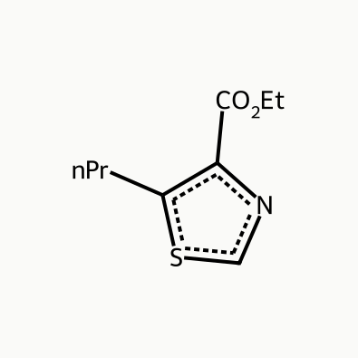 CCCc1scnc1C(=O)OCC